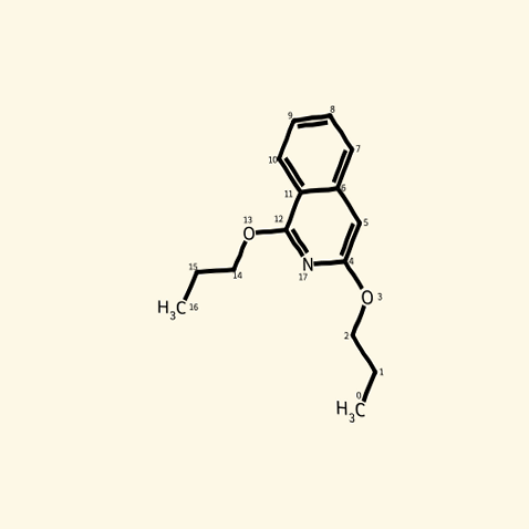 CCCOc1cc2ccccc2c(OCCC)n1